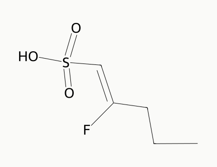 CCCC(F)=CS(=O)(=O)O